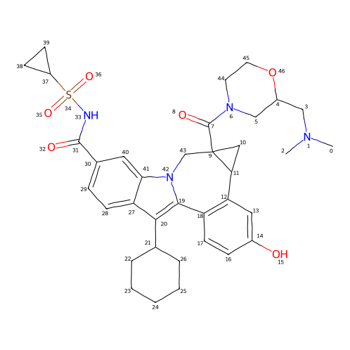 CN(C)CC1CN(C(=O)C23CC2c2cc(O)ccc2-c2c(C4CCCCC4)c4ccc(C(=O)NS(=O)(=O)C5CC5)cc4n2C3)CCO1